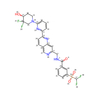 O=C(NCc1cc2nc(-c3cccc(N4CC[C@H](O)C(F)(F)C4)n3)ccc2cn1)c1cccc(S(=O)(=O)C(F)F)c1